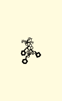 CC(C)[Si](OC(=O)[C@H](Cc1ccccc1)NC(=O)[C@H](Cc1ccccc1)NC(=O)OCc1ccccc1)(C(C)C)C(C)C